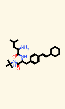 CC(C)CC(N)C(=O)NC(Cc1ccc(C=CC2CCCCC2)cc1)C(=O)NC(C)(C)C